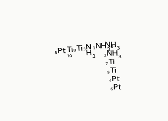 N.N.N.N.[Pt].[Pt].[Pt].[Ti].[Ti].[Ti].[Ti]